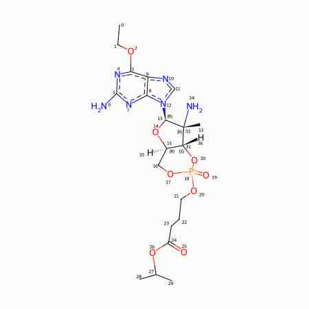 CCOc1nc(N)nc2c1ncn2[C@@H]1O[C@@H]2COP(=O)(OCCCC(=O)OC(C)C)O[C@H]2[C@@]1(C)N